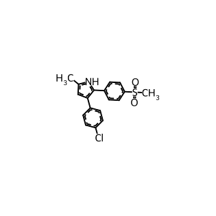 Cc1cc(-c2ccc(Cl)cc2)c(-c2ccc(S(C)(=O)=O)cc2)[nH]1